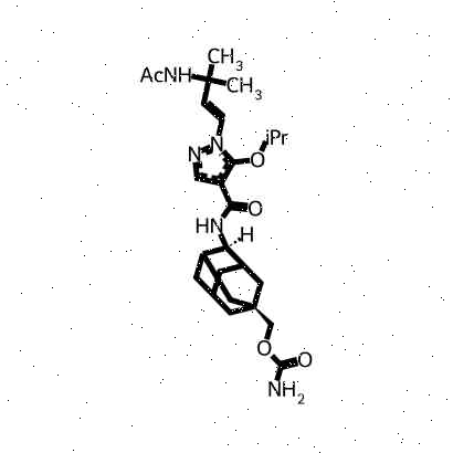 CC(=O)NC(C)(C)/C=C/n1ncc(C(=O)N[C@H]2C3CC4CC2C[C@@](COC(N)=O)(C4)C3)c1OC(C)C